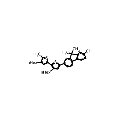 CCCCCCc1cc(-c2sc(-c3ccc4c(c3)C(C)(C)c3cc(C)ccc3-4)cc2CCCCCC)sc1C